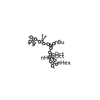 C=CCCCC1(CCCC=C)c2cc(-c3ccc4c(c3)C(c3ccc5c(c3)CC5)(c3ccc5c(c3)CC5)c3cc(C)ccc3-4)ccc2-c2ccc(-c3ccc4c(c3)c3cc(-c5ccc6c(c5)C(CCCCCCCC)(CCCCCCCC)c5cc(-c7ccc8c(c7)C(c7cccc(CCCCCC)c7)(c7cccc(CCCCCC)c7)c7cc(C)ccc7-8)ccc5-6)ccc3n4-c3ccc(CCCC)cc3)cc21